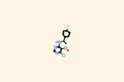 COc1c(Cl)ncnc1NC(C)c1ccc(F)cc1